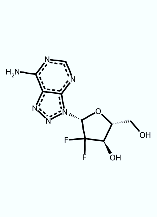 Nc1ncnc2c1nnn2[C@@H]1O[C@H](CO)[C@@H](O)C1(F)F